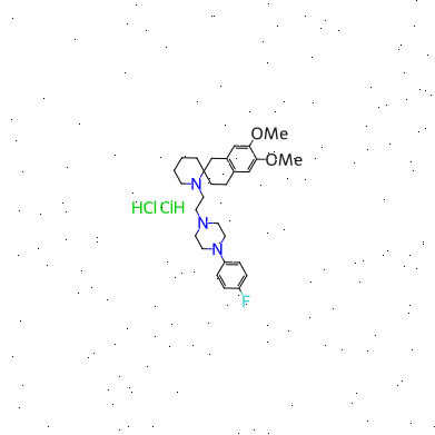 COc1cc2c(cc1OC)CC1(CCCCN1CCN1CCN(c3ccc(F)cc3)CC1)CC2.Cl.Cl